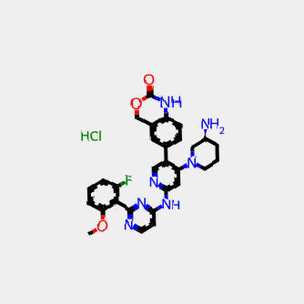 COc1cccc(F)c1-c1nccc(Nc2cc(N3CCC[C@H](N)C3)c(-c3ccc4c(c3)COC(=O)N4)cn2)n1.Cl